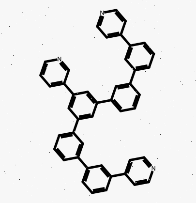 c1cncc(-c2cc(-c3cccc(-c4cccc(-c5ccncc5)c4)c3)cc(-c3cccc(-c4cccc(-c5ccncc5)c4)c3)c2)c1